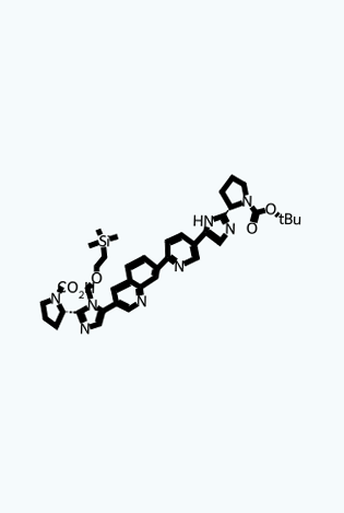 CC(C)(C)OC(=O)N1CCC[C@H]1c1ncc(-c2ccc(-c3ccc4cc(-c5cnc([C@@H]6CCCN6C(=O)O)n5COCC[Si](C)(C)C)cnc4c3)nc2)[nH]1